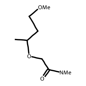 CNC(=O)COC(C)CCOC